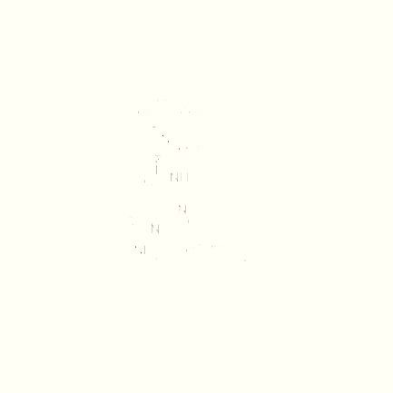 Nc1nc(C(=NOCC(=O)OC(c2ccccc2)c2ccccc2)C(=O)NC2C(=O)N3C(C(=O)O)=C(Cl)CS[C@@H]23)cs1